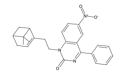 CC1(C)C2CC=C(CCn3c(=O)nc(-c4ccccc4)c4cc([N+](=O)[O-])ccc43)C1C2